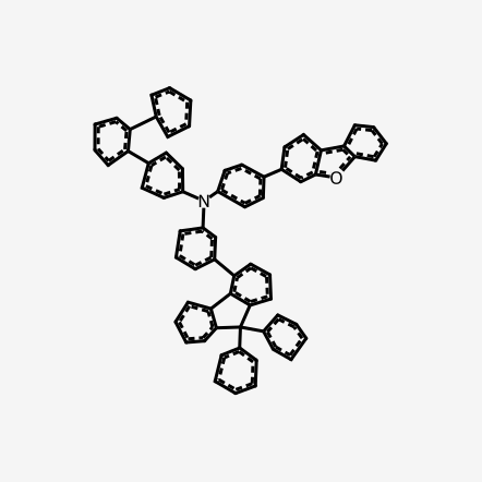 c1ccc(-c2ccccc2-c2ccc(N(c3ccc(-c4ccc5c(c4)oc4ccccc45)cc3)c3cccc(-c4cccc5c4-c4ccccc4C5(c4ccccc4)c4ccccc4)c3)cc2)cc1